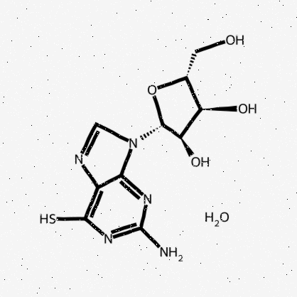 Nc1nc(S)c2ncn([C@@H]3O[C@H](CO)[C@@H](O)[C@H]3O)c2n1.O